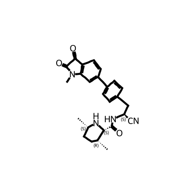 C[C@@H]1CC[C@H](C)N[C@@H]1C(=O)N[C@H](C#N)Cc1ccc(-c2ccc3c(c2)N(C)C(=O)C3=O)cc1